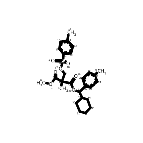 COC(=O)C(C)(COS(=O)(=O)c1ccc(C)cc1)C(=O)OC(c1ccc(C)cc1)C1CCCCC1